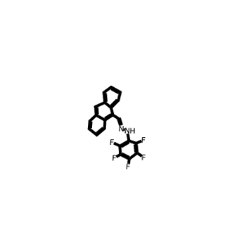 Fc1c(F)c(F)c(NN=Cc2c3ccccc3cc3ccccc23)c(F)c1F